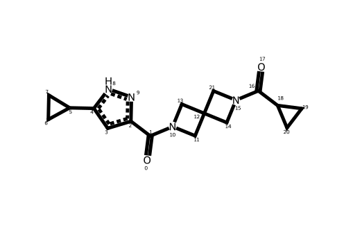 O=C(c1cc(C2CC2)[nH]n1)N1CC2(C1)CN(C(=O)C1CC1)C2